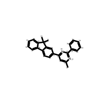 Cc1cc(-c2ccc3c(c2)C(C)(C)c2ccccc2-3)nc(-c2ccccc2)n1